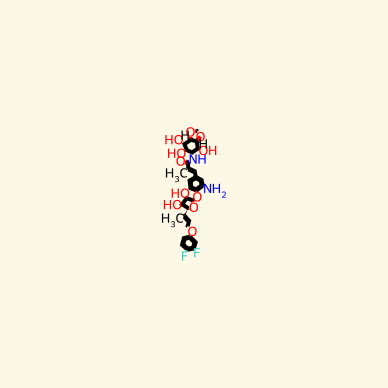 CC(=Cc1ccc(O[C@@H]2O[C@H](C(C)=CCOc3ccc(F)c(F)c3)[C@@H](O)[C@@H]2O)c(N)c1)C(=O)N[C@@H]1[C@H](O)[C@@H](O)[C@H]2OCO[C@H]2[C@@H]1O